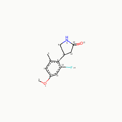 COc1cc(C)c(C2CNC(=O)C2)c(F)c1